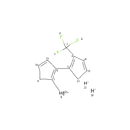 FC(F)(F)C1=C(C2=[C]([Hf+2])CC=C2)CC=C1.[H-].[H-]